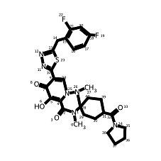 CN1C(=O)c2c(O)c(=O)c(-c3nnc(Cc4ccc(F)cc4F)s3)cn2N(C)C12CCC(C(=O)N1CCCC1)CC2